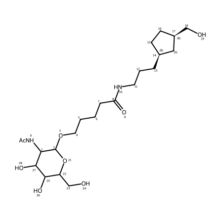 CC(=O)NC1C(OCCCCC(=O)NCCC[C@H]2CC[C@@H](CO)C2)OC(CO)C(O)C1O